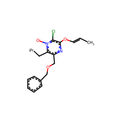 CC=COc1nc(COCc2ccccc2)c(CC(C)C)[n+]([O-])c1Cl